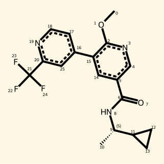 COc1ncc(C(=O)N[C@@H](C)C2CC2)cc1-c1ccnc(C(F)(F)F)c1